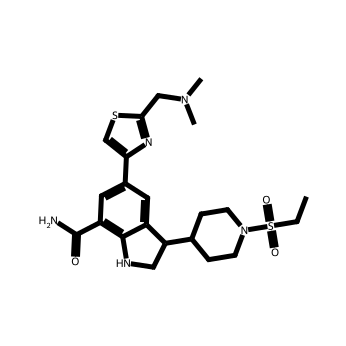 CCS(=O)(=O)N1CCC(C2CNc3c(C(N)=O)cc(-c4csc(CN(C)C)n4)cc32)CC1